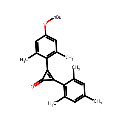 CCCCOc1cc(C)c(-c2c(-c3c(C)cc(C)cc3C)c2=O)c(C)c1